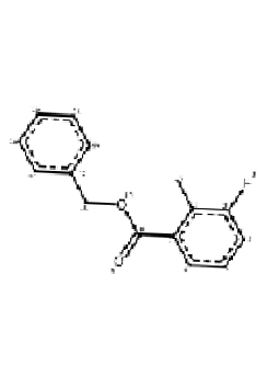 Cc1c(F)cccc1C(=O)OCc1ccccc1